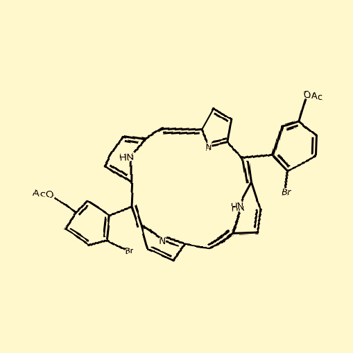 CC(=O)Oc1ccc(Br)c(-c2c3nc(cc4ccc([nH]4)c(-c4cc(OC(C)=O)ccc4Br)c4nc(cc5ccc2[nH]5)C=C4)C=C3)c1